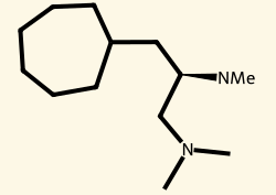 CN[C@H](CC1CCCCCC1)CN(C)C